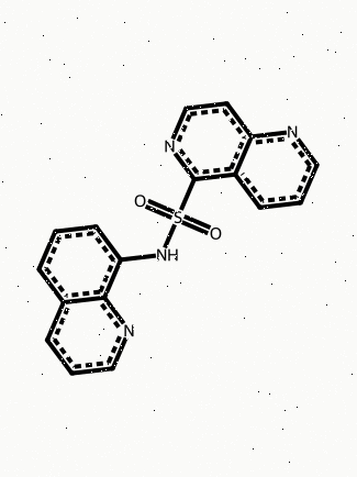 O=S(=O)(Nc1cccc2cccnc12)c1nccc2ncccc12